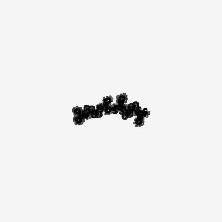 O=C1OC2=C(c3ccc(N(c4ccccc4)c4cccc(-c5cc6c(s5)c5sc(C7=C8OC(=O)C(c9cc%10c(s9)c9sccc9n%10-c9ccccc9)=C8OC7=O)cc5n6-c5ccccc5)c4)s3)C(=O)OC2=C1c1ccc(N(c2ccccc2)c2ccccc2)s1